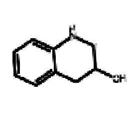 OC1[C]Nc2ccccc2C1